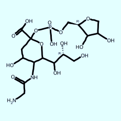 NCC(=O)NC1C(O)CC(OP(=O)(O)OC[C@H]2OCC(O)C2O)(C(=O)O)OC1C(O)[C@H](O)CO